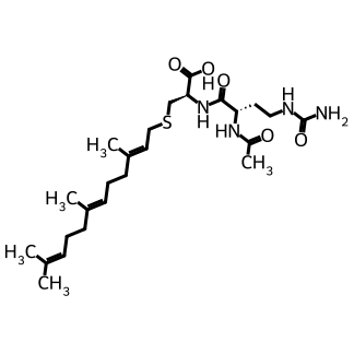 CC(=O)N[C@@H](CCNC(N)=O)C(=O)N[C@@H](CSC/C=C(\C)CC/C=C(\C)CCC=C(C)C)C(=O)O